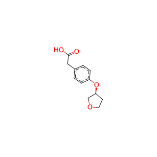 O=C(O)Cc1ccc(O[C@H]2CCOC2)cc1